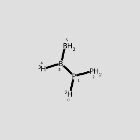 [2H]P(P)B([3H])B